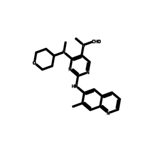 Cc1cc2ncccc2cc1Nc1ncc(N(C)C=O)c(N(C)C2CCOCC2)n1